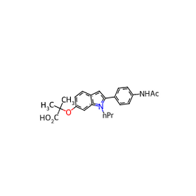 CCCn1c(-c2ccc(NC(C)=O)cc2)cc2ccc(OC(C)(C)C(=O)O)cc21